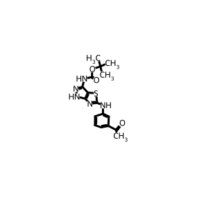 CC(=O)c1cccc(Nc2nc3[nH]nc(NC(=O)OC(C)(C)C)c3s2)c1